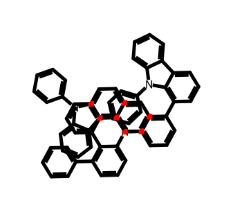 c1ccc(-c2ccccc2-c2c(-c3ccccc3)cccc2N(c2cccc(-c3cccc4c5ccccc5n(-c5ccccc5)c34)c2)c2cccc3c2c2ccccc2n3-c2ccccc2)cc1